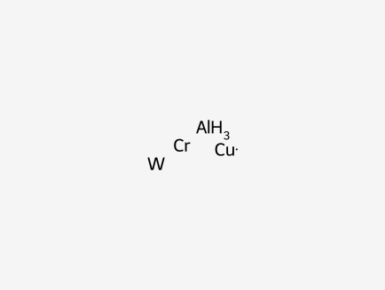 [AlH3].[Cr].[Cu].[W]